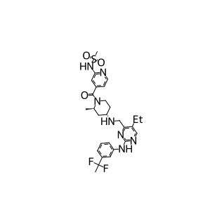 CCc1cnc(Nc2cccc(C(C)(F)F)c2)nc1CN[C@H]1CCN(C(=O)c2ccnc(NS(C)(=O)=O)c2)[C@H](C)C1